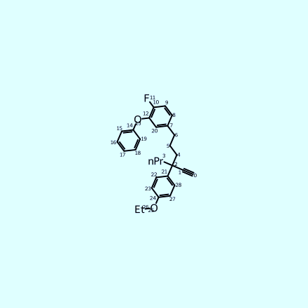 C#CC(CCC)(CCCc1ccc(F)c(Oc2ccccc2)c1)c1ccc(OCC)cc1